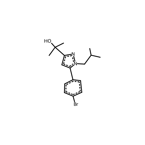 CC(C)Cn1nc(C(C)(C)O)cc1-c1ccc(Br)cc1